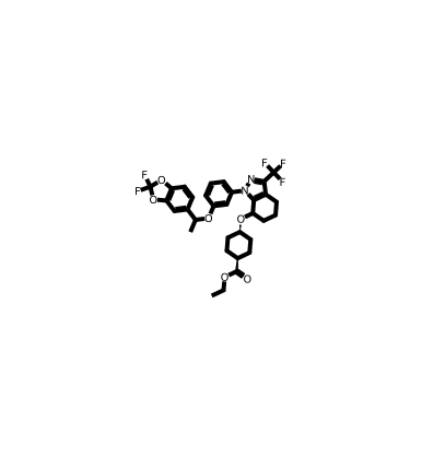 CCOC(=O)[C@H]1CC[C@H](OC2CCCc3c(C(F)(F)F)nn(-c4cccc(OC(C)c5ccc6c(c5)OC(F)(F)O6)c4)c32)CC1